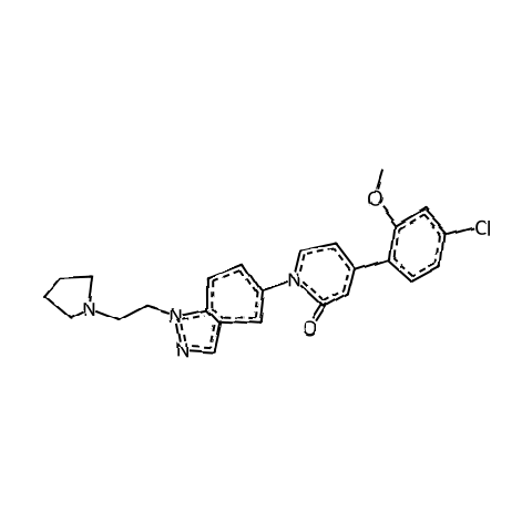 COc1cc(Cl)ccc1-c1ccn(-c2ccc3c(cnn3CCN3CCCC3)c2)c(=O)c1